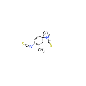 CC1=C(N=C=S)C=CC(C)(N=C=S)C1